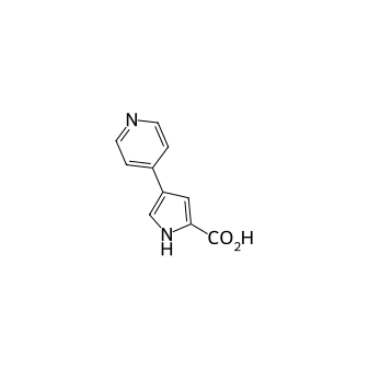 O=C(O)c1cc(-c2ccncc2)c[nH]1